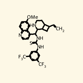 C=CC1CC2C1CCNC2C(NC(=S)Nc1cc(C(F)(F)F)cc(C(F)(F)F)c1)c1ccnc2ccc(OC)cc12